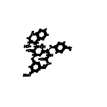 COc1cccc(C[C@H](C[C@H](O)[C@H](Cc2ccc(Br)cc2)NC(=O)OC(C)(C)C)C(=O)N[C@H]2c3ccccc3OC[C@H]2O)c1